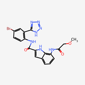 COCC(=O)Nc1cccc2cc(C(=O)Nc3ccc(Br)cc3-c3nnn[nH]3)[nH]c12